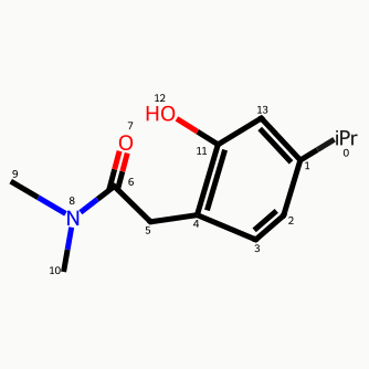 CC(C)c1ccc(CC(=O)N(C)C)c(O)c1